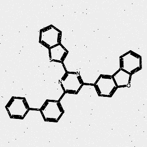 c1ccc(-c2cccc(-c3cc(-c4ccc5oc6ccccc6c5c4)nc(-c4cc5ccccc5s4)n3)c2)cc1